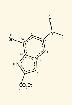 CCOC(=O)c1cn2cc(C(C)F)cc(Br)c2n1